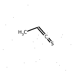 CC=C=S